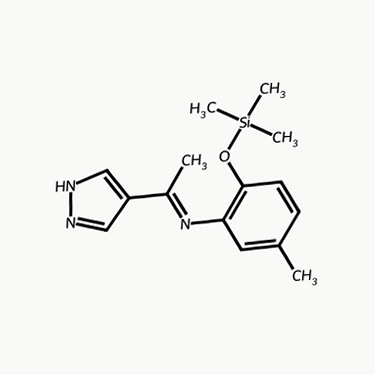 C/C(=N\c1cc(C)ccc1O[Si](C)(C)C)c1cn[nH]c1